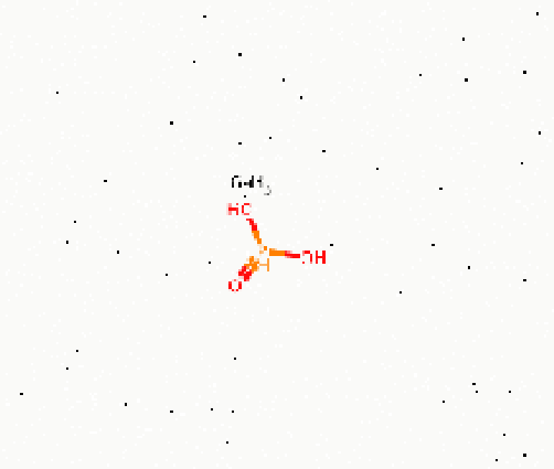 O=[PH](O)O.[GaH3]